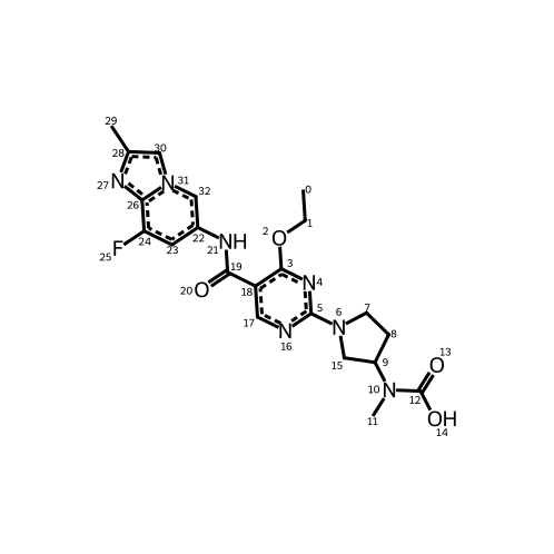 CCOc1nc(N2CCC(N(C)C(=O)O)C2)ncc1C(=O)Nc1cc(F)c2nc(C)cn2c1